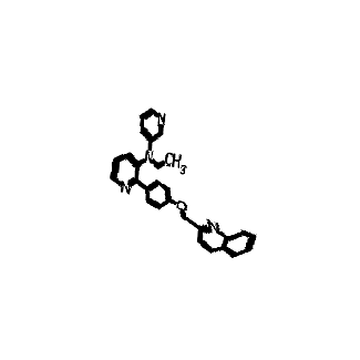 CCN(c1cccnc1)c1cccnc1-c1ccc(OCc2ccc3ccccc3n2)cc1